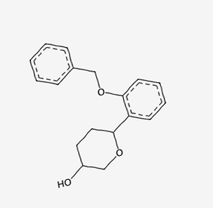 OC1CCC(c2ccccc2OCc2ccccc2)OC1